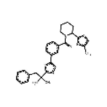 Cc1csc(C2CCCCN2C(=O)c2cccc(-c3nnc(C(C)(N)Cc4ccccc4)o3)c2)n1